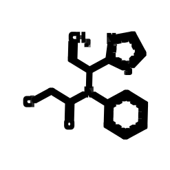 C=CC(c1nccs1)N(C(=O)CCl)c1ccccc1